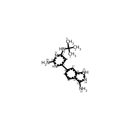 CC(C)(C)Nc1cc(-c2ccc3c(N)n[nH]c3c2)nc(N)n1